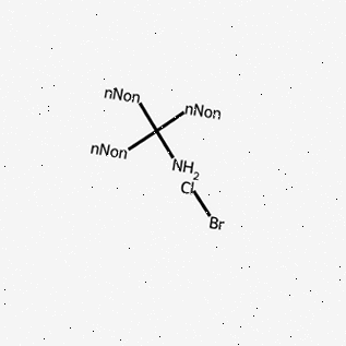 CCCCCCCCCC(N)(CCCCCCCCC)CCCCCCCCC.ClBr